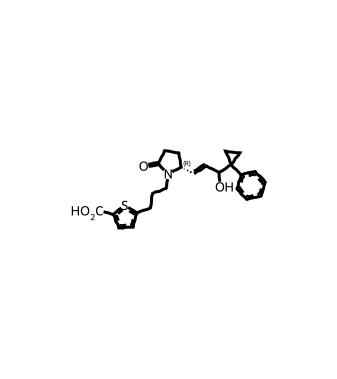 O=C(O)c1ccc(CCCN2C(=O)CC[C@@H]2C=CC(O)C2(c3ccccc3)CC2)s1